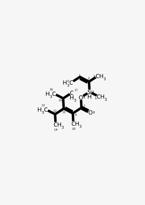 CC=C(C)[SiH](C)OC(=O)C(C)=C(C(C)C)C(C)C